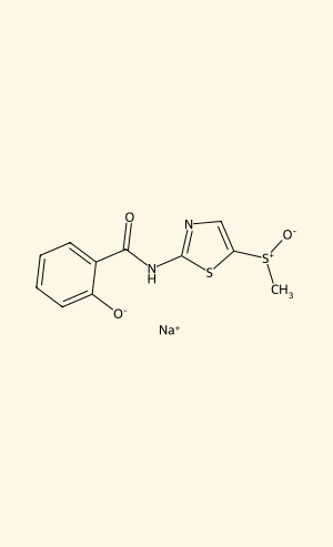 C[S+]([O-])c1cnc(NC(=O)c2ccccc2[O-])s1.[Na+]